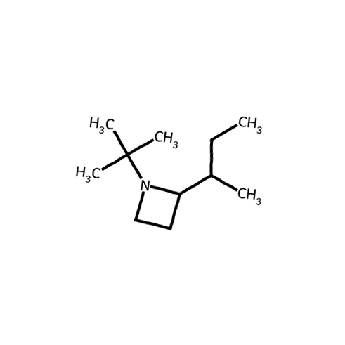 CCC(C)C1CCN1C(C)(C)C